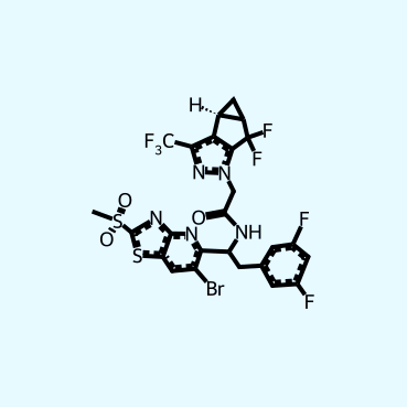 CS(=O)(=O)c1nc2nc(C(Cc3cc(F)cc(F)c3)NC(=O)Cn3nc(C(F)(F)F)c4c3C(F)(F)C3C[C@H]43)c(Br)cc2s1